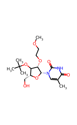 COCCO[C@H]1C(OC(C)(C)C)[C@@H](CO)O[C@H]1n1cc(C)c(=O)[nH]c1=O